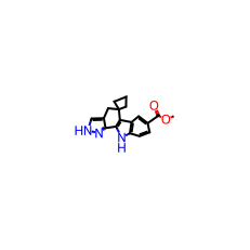 COC(=O)c1ccc2[nH]c3c(c2c1)C1(CCC1)Cc1c[nH]nc1-3